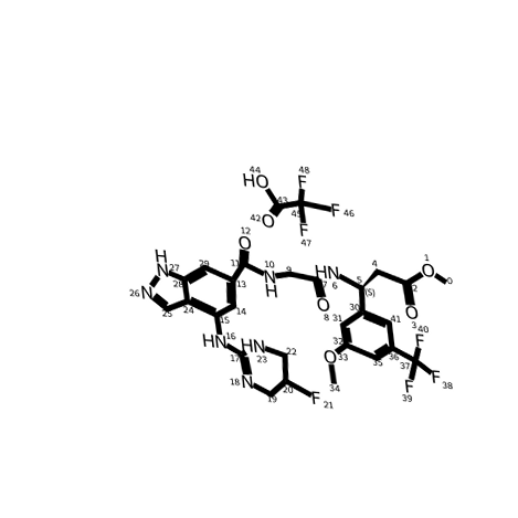 COC(=O)C[C@H](NC(=O)CNC(=O)c1cc(NC2=NCC(F)CN2)c2cn[nH]c2c1)c1cc(OC)cc(C(F)(F)F)c1.O=C(O)C(F)(F)F